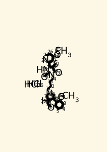 COc1cccc2c1[C@H]1CN(CCCCn3c(=O)[nH]c4c(sc5c(OC)ccnc54)c3=O)C[C@@H]1CO2.Cl.Cl